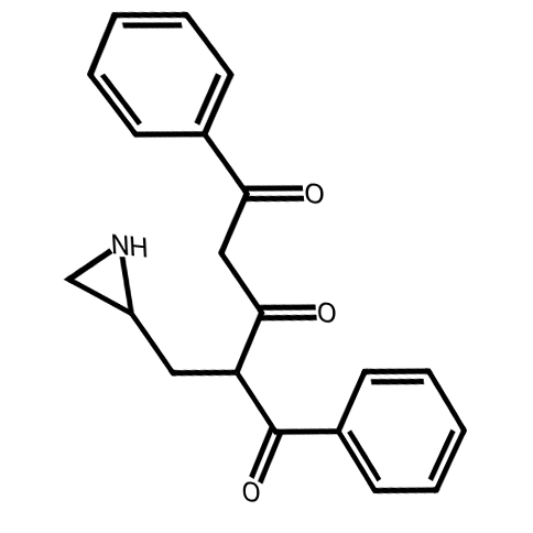 O=C(CC(=O)C(CC1CN1)C(=O)c1ccccc1)c1ccccc1